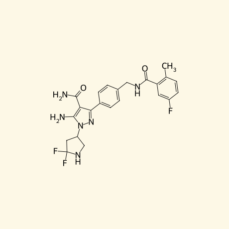 Cc1ccc(F)cc1C(=O)NCc1ccc(-c2nn(C3CNC(F)(F)C3)c(N)c2C(N)=O)cc1